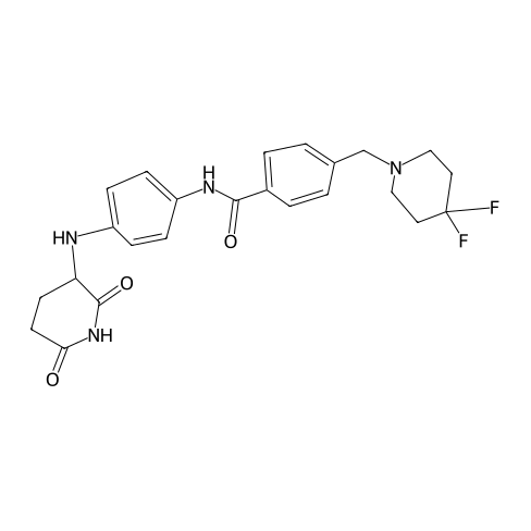 O=C1CCC(Nc2ccc(NC(=O)c3ccc(CN4CCC(F)(F)CC4)cc3)cc2)C(=O)N1